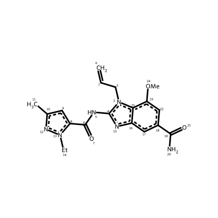 C=CCn1c(NC(=O)c2cc(C)nn2CC)nc2cc(C(N)=O)cc(OC)c21